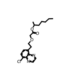 CCCCCC(C)OC(=O)COCCc1ccc(Cl)c2nccnc12